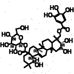 CC1(C)CC[C@]2(C(=O)O[C@@H]3OC(CO)[C@@H](O)[C@H](O)C3O)CC[C@]3(C)C(=CCC4[C@@]5(C)C[C@@H](O)[C@@H](O)[C@@](C)(COC(=O)c6cc(O)c(O)c(O)c6)C5CC[C@]43C)[C@@H]2[C@@H]1O